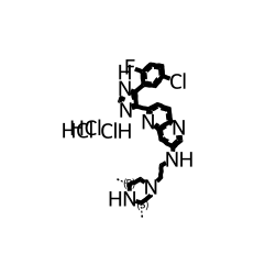 C[C@@H]1CN(CCNc2cnc3ccc(-c4nc[nH]c4-c4cc(Cl)ccc4F)nc3c2)C[C@H](C)N1.Cl.Cl.Cl